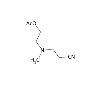 CC(=O)OCCN(C)CCC#N